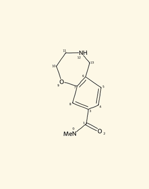 CNC(=O)c1ccc2c(c1)OCCNC2